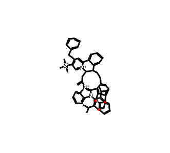 C=C1CC2C(CCc3ccc4c(oc5ccccc54)c3-c3n(-c4c(C(C)C)cccc4C(C)C)c4ccccc4[n+]31)c1ccccc1-c1cc(Cc3ccccc3)c([Si](C)(C)C)c[n+]12